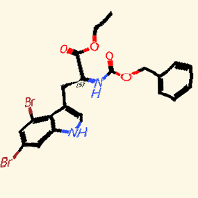 CCOC(=O)[C@H](Cc1c[nH]c2cc(Br)cc(Br)c12)NC(=O)OCc1ccccc1